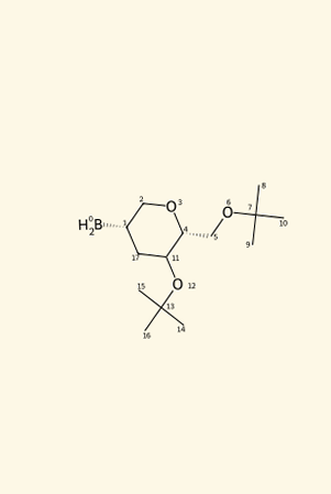 B[C@@H]1CO[C@H](COC(C)(C)C)C(OC(C)(C)C)C1